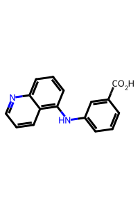 O=C(O)c1cccc(Nc2cccc3ncccc23)c1